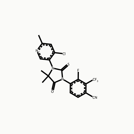 Cc1cc(Cl)c(N2C(=S)N(c3ccc(C#N)c(C(F)(F)F)c3F)C(=O)C2(C)C)cn1